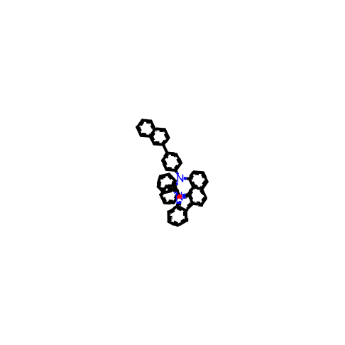 c1ccc(N(c2ccc(-c3ccc4ccccc4c3)cc2)c2cccc3ccc4c5ccccc5n(-c5ccccc5)c4c23)cc1